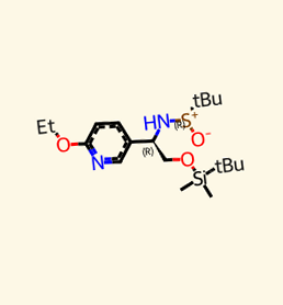 CCOc1ccc([C@H](CO[Si](C)(C)C(C)(C)C)N[S@@+]([O-])C(C)(C)C)cn1